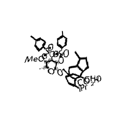 CO[C@H]1[C@@H](OS(=O)(=O)c2ccc(C)cc2)[C@H](OS(=O)(=O)c2ccc(C)cc2)[C@H](OCC23CC4C(C)CCC4C4(C=O)CC2C=C(C(C)C)C43C(=O)O)O[C@@H]1C